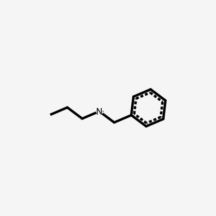 CCC[N]Cc1ccccc1